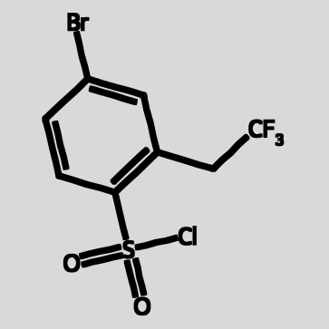 O=S(=O)(Cl)c1ccc(Br)cc1CC(F)(F)F